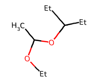 CCOC(C)O[C](CC)CC